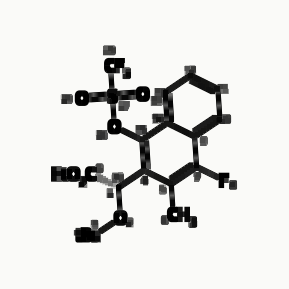 CCOC(=O)[C@@H](OC(C)(C)C)c1c(C)c(F)c2ccccc2c1OS(=O)(=O)C(F)(F)F